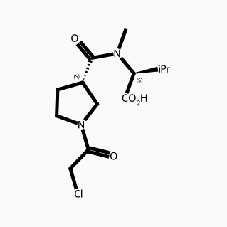 CC(C)[C@@H](C(=O)O)N(C)C(=O)[C@H]1CCN(C(=O)CCl)C1